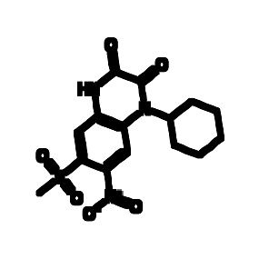 CS(=O)(=O)c1cc2[nH]c(=O)c(=O)n(C3CCCCC3)c2cc1[N+](=O)[O-]